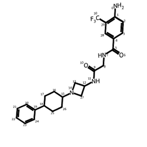 Nc1ccc(C(=O)NCC(=O)NC2CN(C3CCC(c4ccccc4)CC3)C2)cc1C(F)(F)F